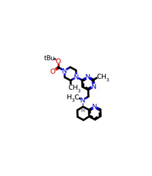 Cc1nc(CN(C)[C@H]2CCCc3cccnc32)cc(N2CCN(C(=O)OC(C)(C)C)CC2C)n1